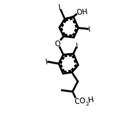 CC(Cc1cc(I)c(Oc2cc(I)c(O)c(I)c2)c(I)c1)C(=O)O